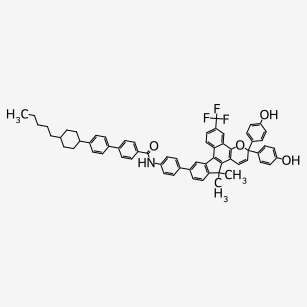 CCCCCC1CCC(c2ccc(-c3ccc(C(=O)Nc4ccc(-c5ccc6c(c5)-c5c(c7c(c8cc(C(F)(F)F)ccc58)OC(c5ccc(O)cc5)(c5ccc(O)cc5)C=C7)C6(C)C)cc4)cc3)cc2)CC1